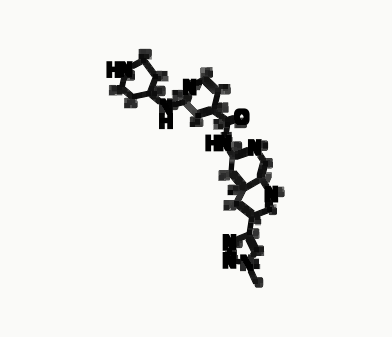 Cn1cc(-c2cnc3cnc(NC(=O)c4ccnc(NC5CCNCC5)c4)cc3c2)nn1